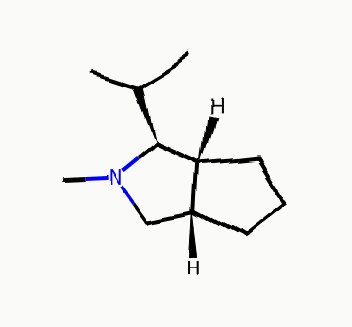 CC(C)[C@H]1[C@@H]2CCC[C@@H]2CN1C